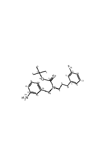 CC(C)(C)OC(=O)N(CCCc1cccc(F)c1)Cc1cccc(N)c1